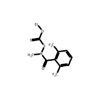 CCOC(=S)SN(C)C(=O)c1c(C(F)(F)F)cccc1C(F)(F)F